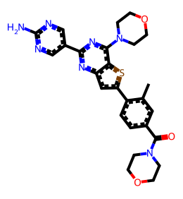 Cc1cc(C(=O)N2CCOCC2)ccc1-c1cc2nc(-c3cnc(N)nc3)nc(N3CCOCC3)c2s1